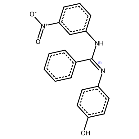 O=[N+]([O-])c1cccc(N/C(=N/c2ccc(O)cc2)c2ccccc2)c1